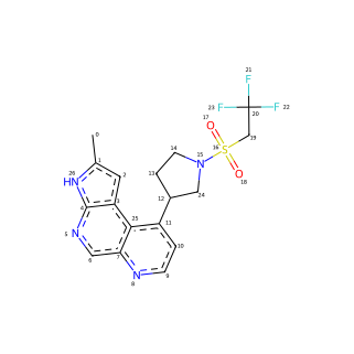 Cc1cc2c(ncc3nccc(C4CCN(S(=O)(=O)CC(F)(F)F)C4)c32)[nH]1